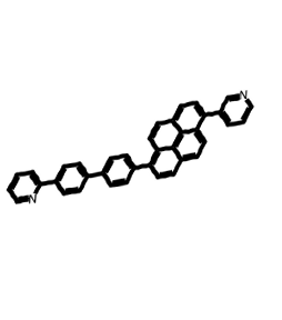 c1ccc(-c2ccc(-c3ccc(-c4ccc5ccc6c(-c7cccnc7)ccc7ccc4c5c76)cc3)cc2)nc1